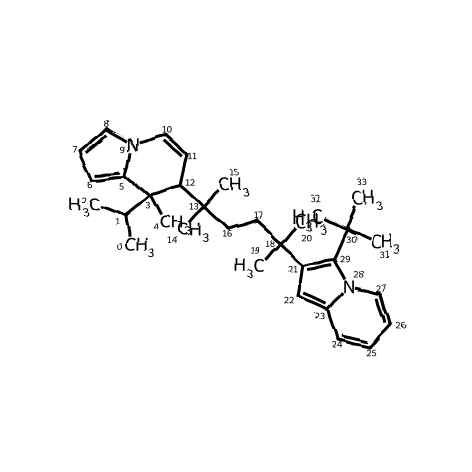 CC(C)C1(C)c2cccn2C=CC1C(C)(C)CCC(C)(C)c1cc2ccccn2c1C(C)(C)C